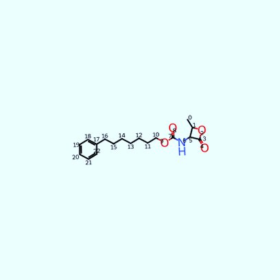 CC1OC(=O)C1NC(=O)OCCCCCCCc1ccccc1